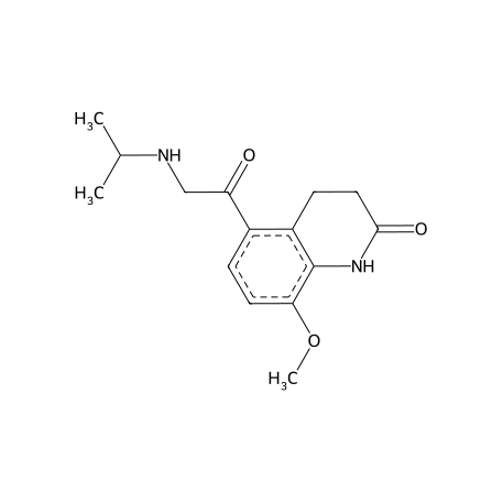 COc1ccc(C(=O)CNC(C)C)c2c1NC(=O)CC2